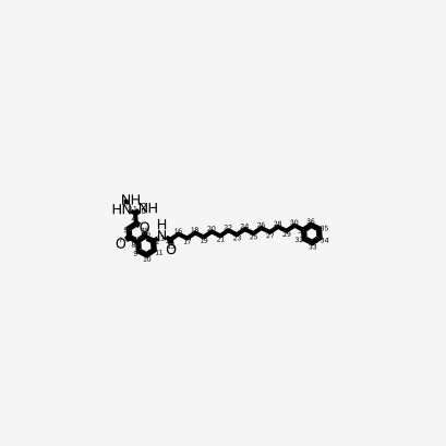 N=C(NN)c1cc(=O)c2cccc(NC(=O)CCCCCCCCCCCCCCCc3ccccc3)c2o1